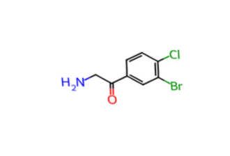 NCC(=O)c1ccc(Cl)c(Br)c1